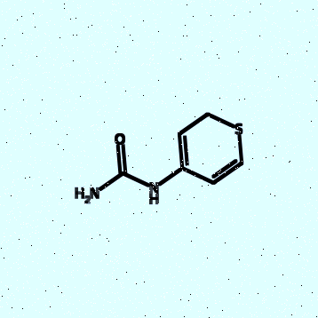 NC(=O)NC1=CCSC=C1